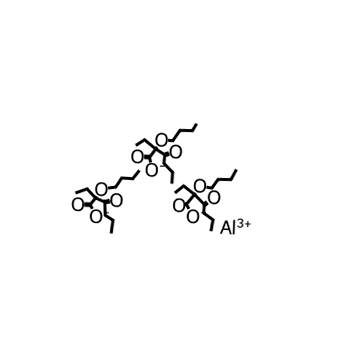 CCCCOC(CC)(C(=O)[O-])C(=O)CCC.CCCCOC(CC)(C(=O)[O-])C(=O)CCC.CCCCOC(CC)(C(=O)[O-])C(=O)CCC.[Al+3]